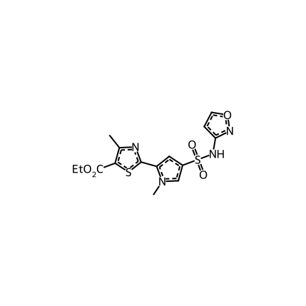 CCOC(=O)c1sc(-c2cc(S(=O)(=O)Nc3ccon3)cn2C)nc1C